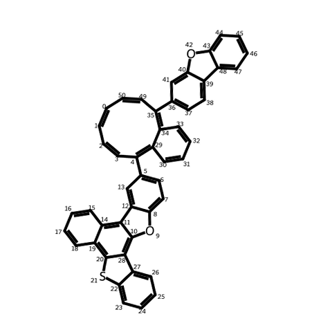 c1cccc(-c2ccc3oc4c(c3c2)c2ccccc2c2sc3ccccc3c42)c2ccccc2c(-c2ccc3c(c2)oc2ccccc23)cc1